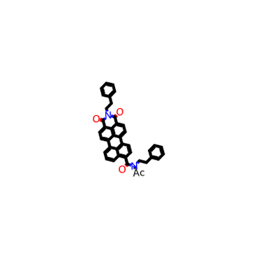 CC(=O)N(CCc1ccccc1)C(=O)c1ccc2c3ccc4c5c(ccc(c6cccc1c62)c53)C(=O)N(CCc1ccccc1)C4=O